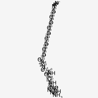 C[C@H](CCC(=O)N1CCN(C(=O)CCOCCOCCOCCOCCOCCOCCOCCOCCOCCN=[N+]=[N-])CC1)NC(=O)c1ccc(NCc2cnc3nc(N)[nH]c(=O)c3n2)cc1